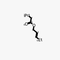 CCC=CCOC(=O)CC(C)C